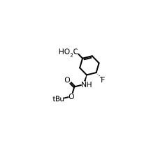 CC(C)(C)OC(=O)N[C@H]1CC(C(=O)O)=CC[C@@H]1F